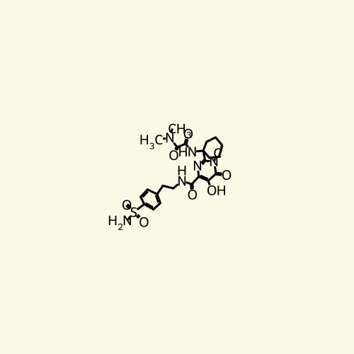 CN(C)C(=O)C(=O)NC12CCC(CC1)Cn1c2nc(C(=O)NCCc2ccc(S(N)(=O)=O)cc2)c(O)c1=O